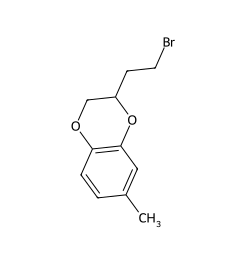 Cc1ccc2c(c1)OC(CCBr)CO2